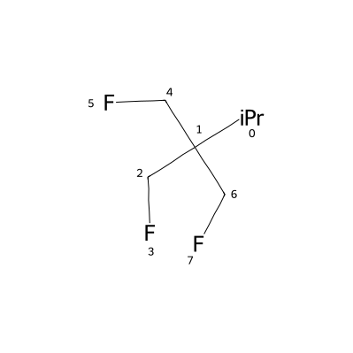 [CH2]C(C)C(CF)(CF)CF